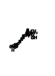 CCc1cccc2cc(O)cc(-c3ncc4c(N5CC6CCC(C5)N6)nc(OCC5(CN6CCN(C7CN(c8ccc9c(c8)CN(C8CCC(=O)NC8=O)C9=O)C7)CC6)CC5)nc4c3F)c12